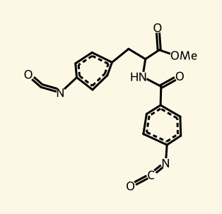 COC(=O)C(Cc1ccc(N=C=O)cc1)NC(=O)c1ccc(N=C=O)cc1